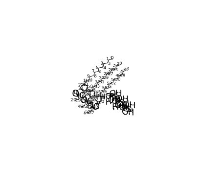 CCCCCCCCCCCCc1ccc(OC(=O)CC)cc1.CCCCCCCCCCCCc1ccc(OC(=O)CC)cc1.CCCCCCCCCCCCc1ccc(OC(=O)CC)cc1.OP(O)(O)=S.OP(O)(O)=S.OP(O)(O)=S